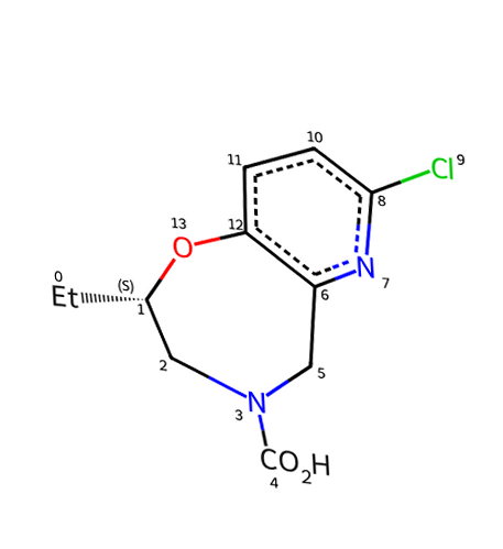 CC[C@H]1CN(C(=O)O)Cc2nc(Cl)ccc2O1